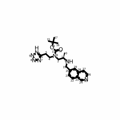 C[C@H](CN(CCc1nnn[nH]1)C(=O)OC(C)(C)C)NCc1ccc2cnccc2c1